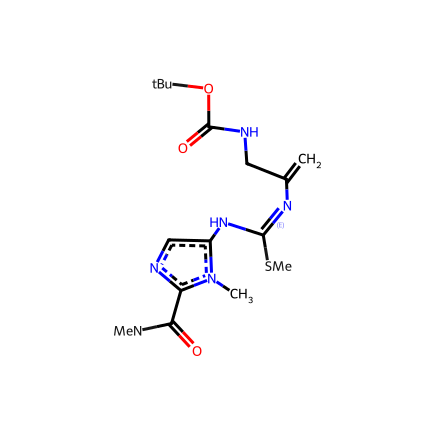 C=C(CNC(=O)OC(C)(C)C)/N=C(\Nc1cnc(C(=O)NC)n1C)SC